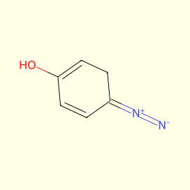 [N-]=[N+]=C1C=CC(O)=CC1